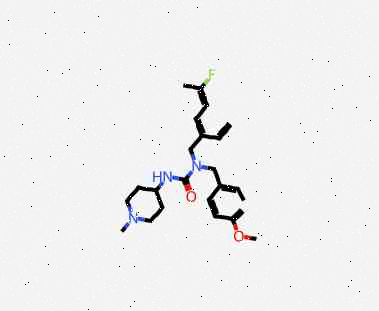 C=C/C(=C\C=C(/C)F)CN(CC(/C=C\C(=C)OC)=C/C)C(=O)NC1CCN(C)CC1